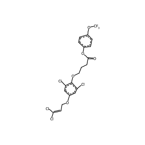 O=C(CCCOc1c(Cl)cc(OCC=C(Cl)Cl)cc1Cl)Oc1ccc(OC(F)(F)F)cc1